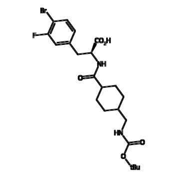 CC(C)(C)OC(=O)NCC1CCC(C(=O)N[C@@H](Cc2ccc(Br)c(F)c2)C(=O)O)CC1